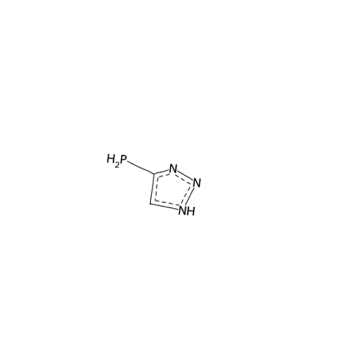 Pc1c[nH]nn1